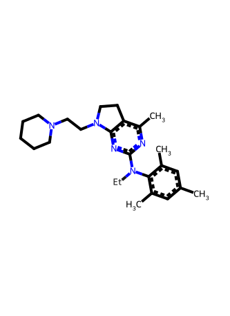 CCN(c1nc(C)c2c(n1)N(CCN1CCCCC1)CC2)c1c(C)cc(C)cc1C